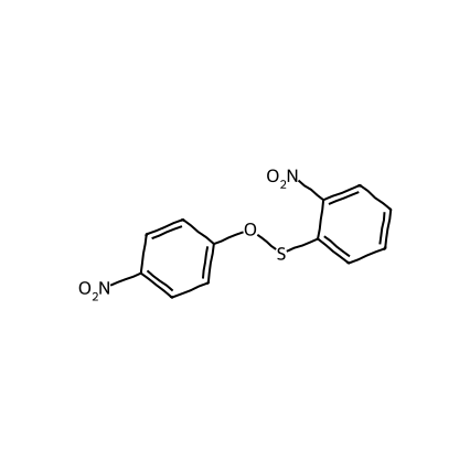 O=[N+]([O-])c1ccc(OSc2ccccc2[N+](=O)[O-])cc1